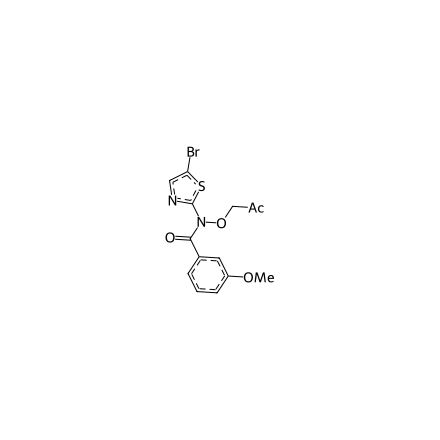 COc1cccc(C(=O)N(OCC(C)=O)c2ncc(Br)s2)c1